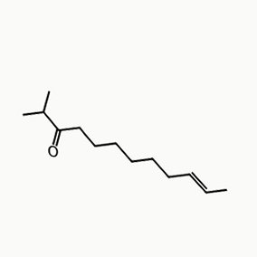 CC=CCCCCCCC(=O)C(C)C